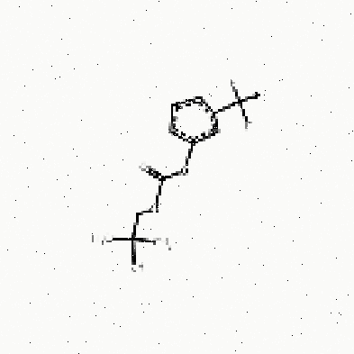 CC(C)(C)COC(=O)Oc1cccc(C(F)(F)F)c1